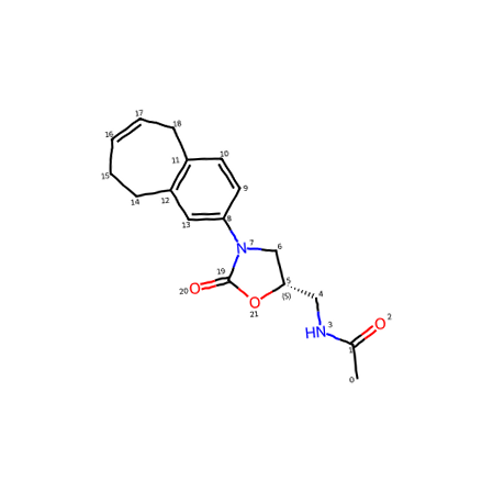 CC(=O)NC[C@H]1CN(c2ccc3c(c2)CCC=CC3)C(=O)O1